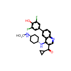 O=C(O)N[C@H]1CC[C@H](Nc2c(C(=O)C3CC3)cnc3ccc(-c4cc(F)c(O)c(F)c4)cc23)CC1